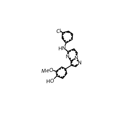 COc1cc(-c2cnn3ccc(Nc4cccc(Cl)c4)nc23)ccc1O